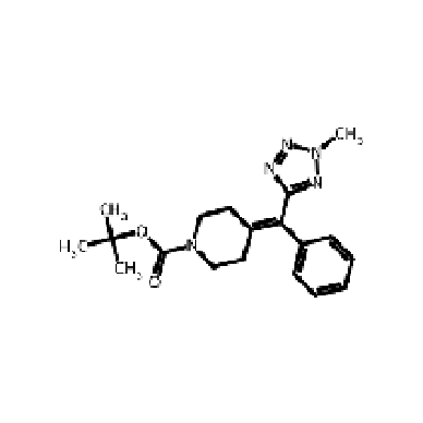 Cn1nnc(C(=C2CCN(C(=O)OC(C)(C)C)CC2)c2ccccc2)n1